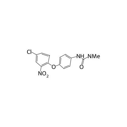 CNC(=O)Nc1ccc(Oc2ccc(Cl)cc2[N+](=O)[O-])cc1